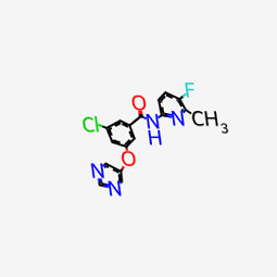 Cc1nc(NC(=O)c2cc(Cl)cc(Oc3cncnc3)c2)ccc1F